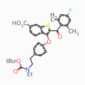 CCN(CCc1ccc(Oc2c(C(=O)c3c(C)cc(F)cc3C)sc3cc(C(=O)O)ccc23)cc1)C(=O)OC(C)(C)C